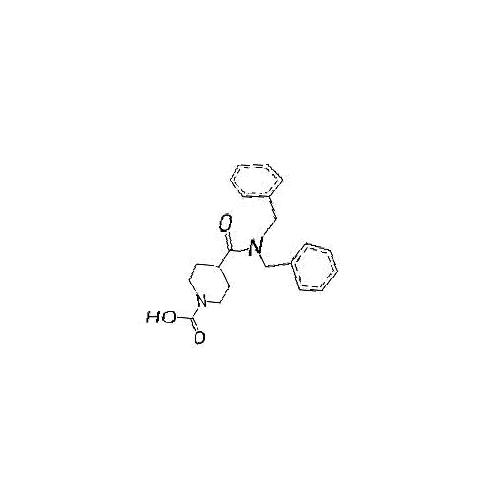 O=C(O)N1CCC(C(=O)N(Cc2ccccc2)Cc2ccccc2)CC1